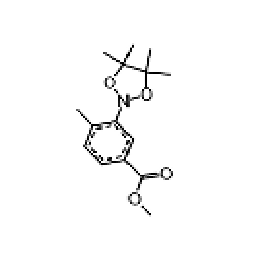 COC(=O)c1ccc(C)c(N2OC(C)(C)C(C)(C)O2)c1